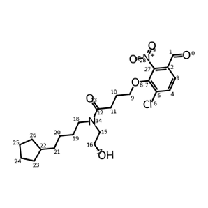 O=Cc1ccc(Cl)c(OCCCC(=O)N(CCO)CCCCC2CCCC2)c1[N+](=O)[O-]